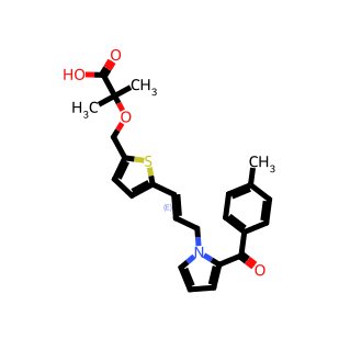 Cc1ccc(C(=O)c2cccn2C/C=C/c2ccc(COC(C)(C)C(=O)O)s2)cc1